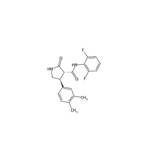 Cc1ccc([C@H]2CNC(=O)[C@@H]2C(=O)Nc2c(F)cccc2F)cc1C